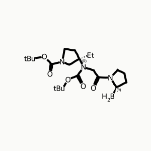 B[C@@H]1CCCN1C(=O)CN(C(=O)OC(C)(C)C)[C@]1(CC)CCN(C(=O)OC(C)(C)C)C1